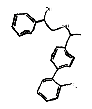 CC(NCC(O)c1ccccc1)c1ccc(-c2ccccc2C(F)(F)F)cc1